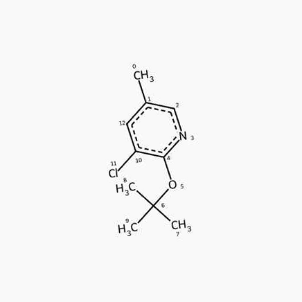 Cc1cnc(OC(C)(C)C)c(Cl)c1